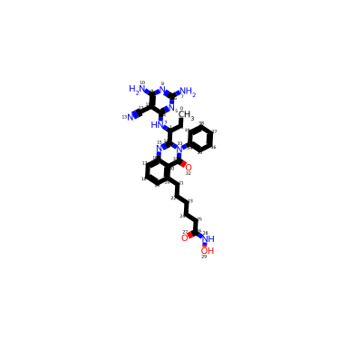 CCC(Nc1nc(N)nc(N)c1C#N)c1nc2cccc(CCCCCC(=O)NO)c2c(=O)n1-c1ccccc1